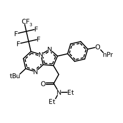 CCCOc1ccc(-c2nn3c(C(F)(F)C(F)(F)C(F)(F)F)cc(C(C)(C)C)nc3c2CC(=O)N(CC)CC)cc1